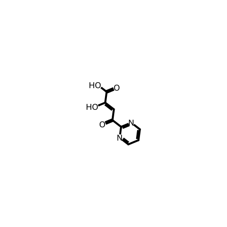 O=C(O)/C(O)=C/C(=O)c1ncccn1